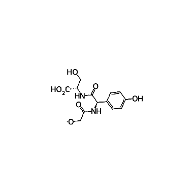 [O]CC(=O)N[C@@H](C(=O)N[C@@H](CO)C(=O)O)c1ccc(O)cc1